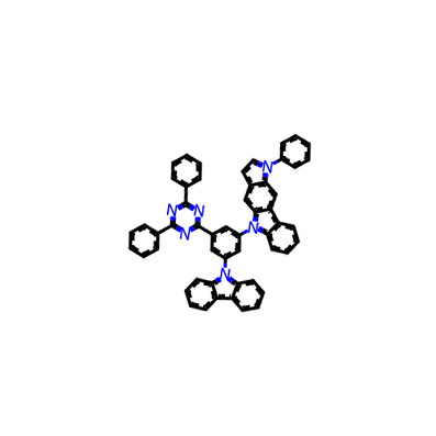 c1ccc(-c2nc(-c3ccccc3)nc(-c3cc(-n4c5ccccc5c5ccccc54)cc(-n4c5ccccc5c5cc6c(ccn6-c6ccccc6)cc54)c3)n2)cc1